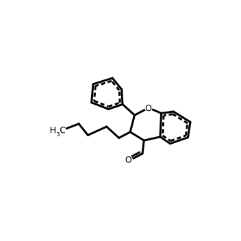 CCCCCC1C(C=O)c2ccccc2OC1c1ccccc1